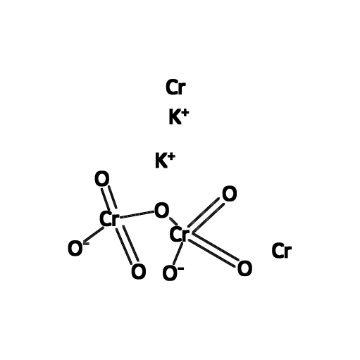 [Cr].[Cr].[K+].[K+].[O]=[Cr](=[O])([O-])[O][Cr](=[O])(=[O])[O-]